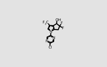 OC1c2c(C(F)(F)F)cn(-c3cnc(Cl)cn3)c2CC1(F)F